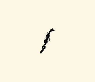 CCCCC[C@H]1CC[C@H](CCc2ccc(OC(=O)c3ccc(OCCCC[C@@H](C)CC)cc3)cc2)CC1